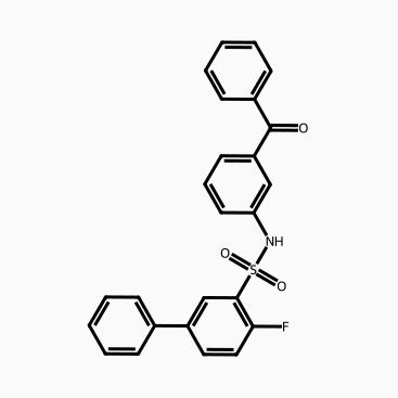 O=C(c1ccccc1)c1cccc(NS(=O)(=O)c2cc(-c3ccccc3)ccc2F)c1